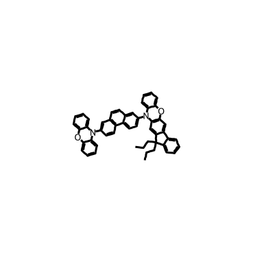 CCCC1(CCC)c2ccccc2-c2cc3c(cc21)N(c1ccc2c(ccc4cc(N5c6ccccc6Oc6ccccc65)ccc42)c1)c1ccccc1O3